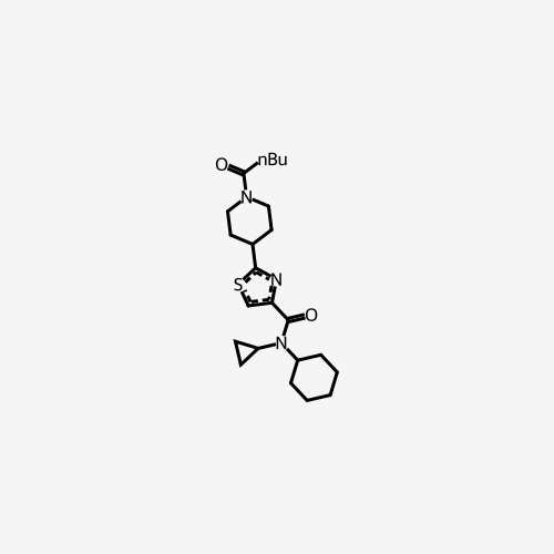 CCCCC(=O)N1CCC(c2nc(C(=O)N(C3CCCCC3)C3CC3)cs2)CC1